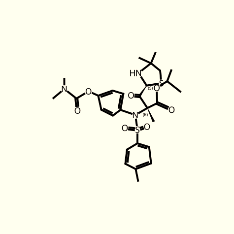 Cc1ccc(S(=O)(=O)N(c2ccc(OC(=O)N(C)C)cc2)[C@@](C)(C(=O)OC(C)C)C(=O)[C@H]2NC(C)(C)CS2)cc1